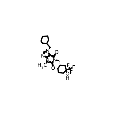 Cn1c(=O)n(C[C@H]2CCCC(O)(C(F)(F)F)C2)c(=O)c2c1ncn2CC1CCCCC1